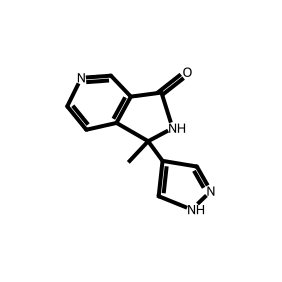 CC1(c2cn[nH]c2)NC(=O)c2cnccc21